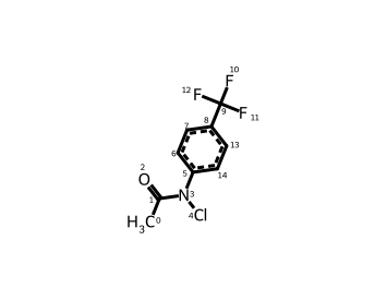 CC(=O)N(Cl)c1ccc(C(F)(F)F)cc1